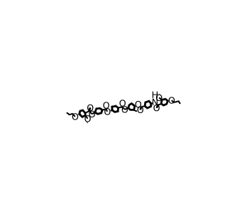 CCCOc1ccc(C(=O)Nc2ccc(C(=O)Oc3ccc(OC(=O)c4ccc(OC(=O)c5ccc(OC(=O)c6ccc(OCCC)cc6OC)cc5)cc4)cc3C)cc2)c(OC)c1